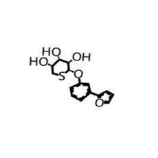 O[C@@H]1[C@@H](O)[C@@H](Oc2cccc(-c3ccco3)c2)SC[C@H]1O